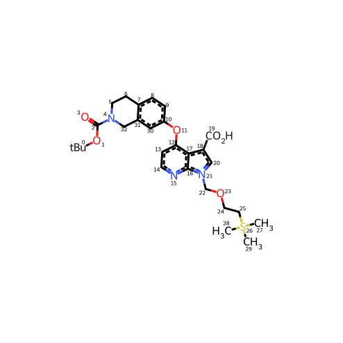 CC(C)(C)OC(=O)N1CCc2ccc(Oc3ccnc4c3c(C(=O)O)cn4COCCS(C)(C)C)cc2C1